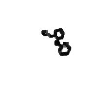 ClCc1ccccc1Oc1ccccn1